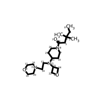 CCC(C)(C)CC(=O)N1CCC(N(CCN2CCOCC2)C2COC2)CC1